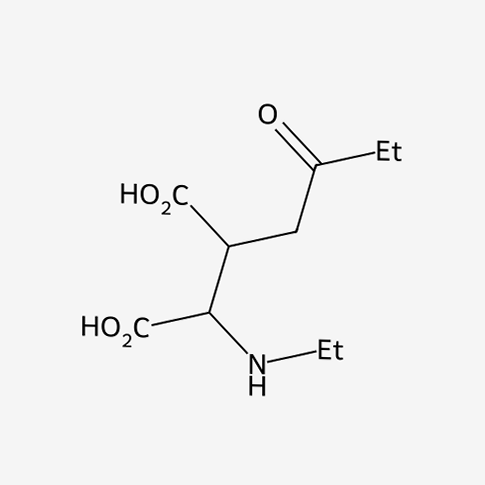 CCNC(C(=O)O)C(CC(=O)CC)C(=O)O